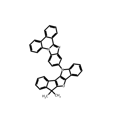 CC1(C)c2ccccc2-c2c1oc1c3ccccc3n(-c3ccc4c(c3)nc3c5ccccc5c5ccccc5n43)c21